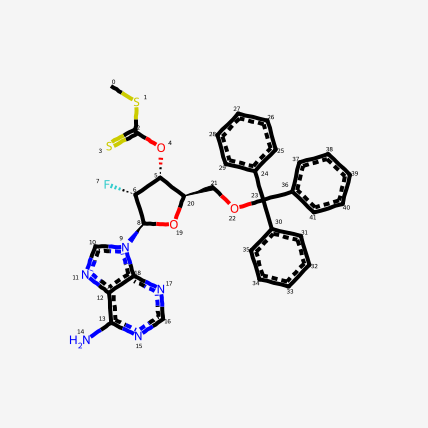 CSC(=S)O[C@H]1[C@@H](F)[C@H](n2cnc3c(N)ncnc32)O[C@@H]1COC(c1ccccc1)(c1ccccc1)c1ccccc1